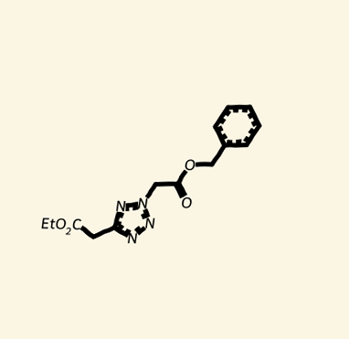 CCOC(=O)Cc1nnn(CC(=O)OCc2ccccc2)n1